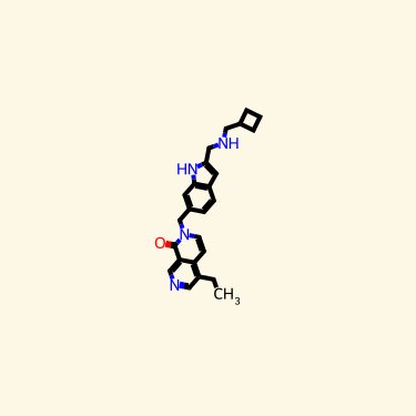 CCc1cncc2c(=O)n(Cc3ccc4cc(CNCC5CCC5)[nH]c4c3)ccc12